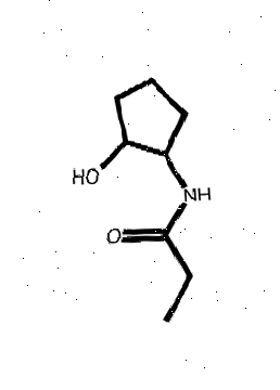 CCC(=O)NC1CCCC1O